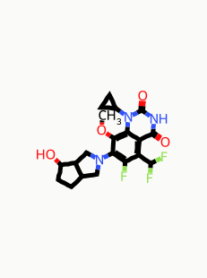 COc1c(N2CC3CCC(O)C3C2)c(F)c(C(F)F)c2c(=O)[nH]c(=O)n(C3CC3)c12